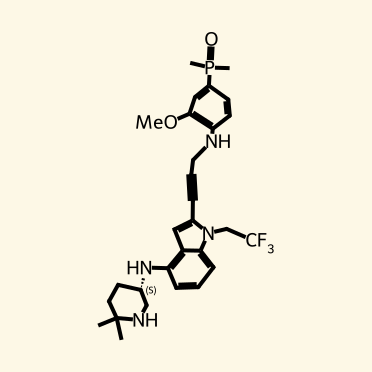 COc1cc(P(C)(C)=O)ccc1NCC#Cc1cc2c(N[C@H]3CCC(C)(C)NC3)cccc2n1CC(F)(F)F